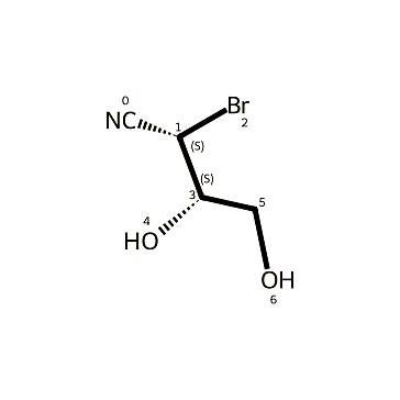 N#C[C@H](Br)[C@@H](O)CO